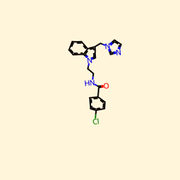 O=C(NCCn1cc(Cn2ccnc2)c2ccccc21)c1ccc(Cl)cc1